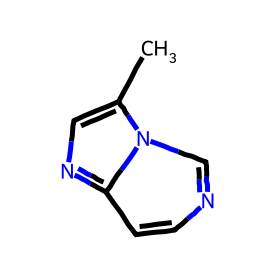 Cc1cnc2ccncn12